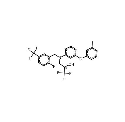 Cc1cccc(Oc2cccc(N(Cc3cc(C(F)(F)F)ccc3F)C[C@@H](O)C(F)(F)F)c2)c1